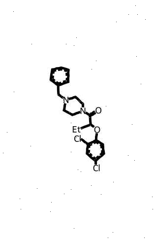 CCC(Oc1ccc(Cl)cc1Cl)C(=O)N1CCN(Cc2ccccc2)CC1